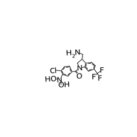 NCC1CN(C(=O)c2ccc(Cl)c(N(O)O)c2)c2cc(C(F)(F)F)ccc21